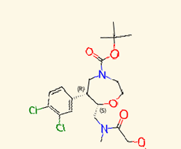 COCC(=O)N(C)C[C@H]1OCCN(C(=O)OC(C)(C)C)C[C@H]1c1ccc(Cl)c(Cl)c1